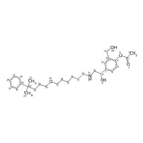 CC(=O)Oc1ccc(C(O)CNCCCCCCOCCCC(C)(C)c2ccccc2)cc1CO